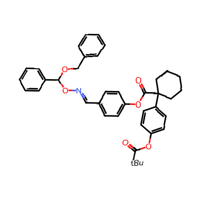 CC(C)(C)C(=O)Oc1ccc(C2(C(=O)Oc3ccc(C=NOC(OCc4ccccc4)c4ccccc4)cc3)CCCCC2)cc1